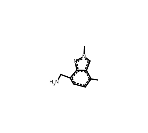 Cc1ccc(CN)c2nn(C)cc12